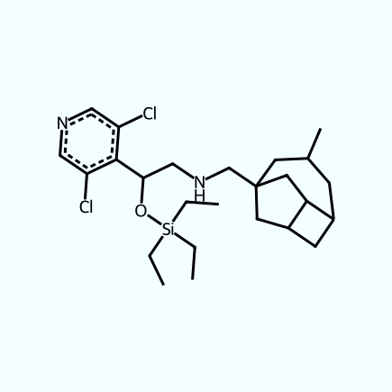 CC[Si](CC)(CC)OC(CNCC12CC(C)CC3CC(C1)C3C2)c1c(Cl)cncc1Cl